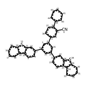 N#Cc1cc(-c2cc(-c3ccc4c(c3)sc3ccccc34)cc(-c3ccc4c(c3)sc3ccccc34)c2)ccc1-c1ccccc1